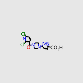 O=C(O)c1ccc(N2CCN(C(=O)c3ccc(Cl)nc3Cl)CC2)nn1